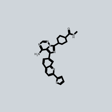 CNC(=O)C1CCC(c2nc(-c3ccc4ccc(-c5cccs5)nc4c3)c3c(N)ncnn23)CC1